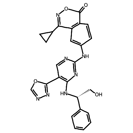 O=c1onc(C2CC2)c2cc(Nc3ncc(-c4nnco4)c(N[C@H](CO)c4ccccc4)n3)ccc12